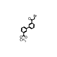 COC(=O)c1cccc(-c2cccc(C(=O)CBr)c2)c1